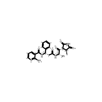 CC(C)[C@H](NC(=O)C[C@H](NC(=O)c1cccnc1N)c1ccccc1)C(=O)[C@@H]1C(=O)NC(=O)[C@H]1C